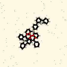 c1ccc(-c2ccc(-c3ccccc3N(c3ccc(-c4cccc5c4oc4ccccc45)cc3)c3ccccc3-c3ccc(-c4ccccc4-n4c5ccccc5c5ccccc54)cc3)cc2)cc1